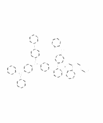 C/C=C\C=C/C1=CC2(c3ccccc31)c1cc3c(cc1-c1c(-c4ccc(N(c5ccc(-c6ccccc6)cc5)c5ccc(N(c6ccccc6)c6ccccc6)cc5)cc4)cccc12)Oc1ccccc1O3